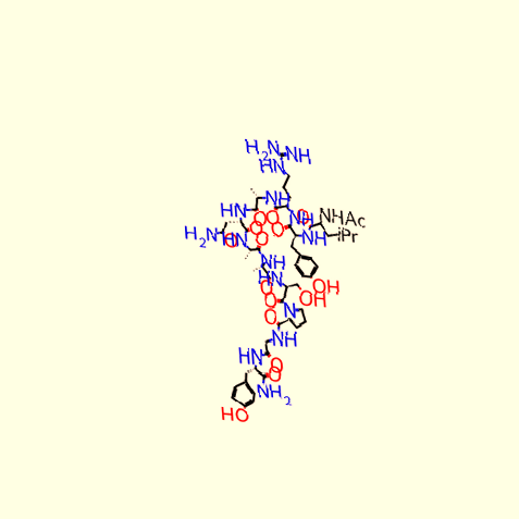 CC(=O)N[C@@H](CC(C)C)C(=O)N[C@@H](Cc1ccc(O)cc1)C(=O)N[C@@H](CCCNC(=N)N)C(=O)N[C@@H](C)C(=O)N[C@@H](CC(N)=O)C(=O)N[C@@H](C)C(=O)N[C@@H](C)C(=O)N[C@@H](CO)C(=O)N1CCC[C@H]1C(=O)NCC(=O)N[C@@H](Cc1ccc(O)cc1)C(N)=O